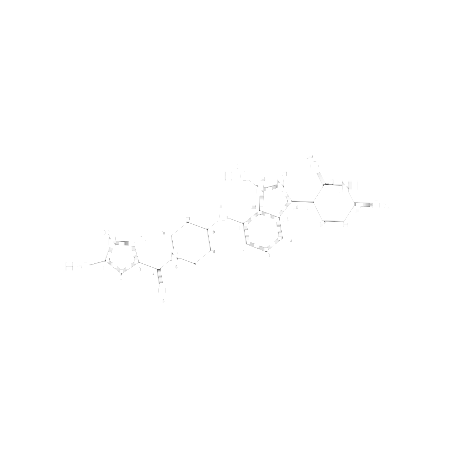 Cc1cc(C(=O)N2CCC(Oc3cccc4c(C5CCC(=O)NC5=O)nn(C)c34)CC2)sn1